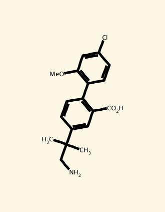 COc1cc(Cl)ccc1-c1ccc(C(C)(C)CN)cc1C(=O)O